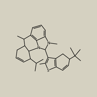 Cc1sc2c(c1C1N(C)c3cccc4c3N1C1C(C(C)C)C=CCC1C4C)CC(C(C)(C)C)C=C2